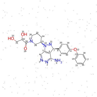 Nc1nncc2c1[C@H](c1ccc(Oc3ccccc3)cc1)N=[N+]2[C@@H]1CCCN(C(=O)C(O)CO)C1